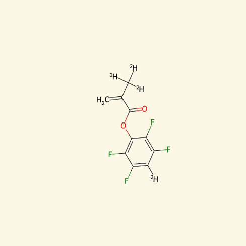 [2H]c1c(F)c(F)c(OC(=O)C(=C)C([2H])([2H])[2H])c(F)c1F